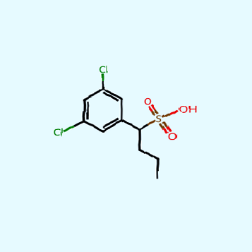 CCCC(c1cc(Cl)cc(Cl)c1)S(=O)(=O)O